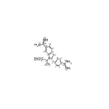 CCOC(=O)C(C)n1c(Cc2ccc(C(=N)N)cc2)nc2ccc(C(=N)N)cc21